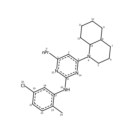 CCCc1cc(N2CCCC3CCCCC32)nc(Nc2cc(Cl)ccc2C)n1